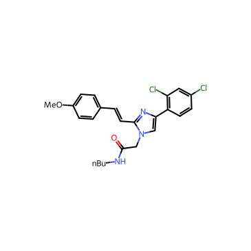 CCCCNC(=O)Cn1cc(-c2ccc(Cl)cc2Cl)nc1/C=C/c1ccc(OC)cc1